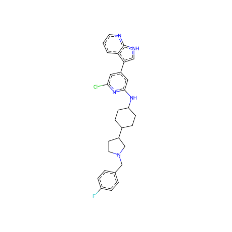 Fc1ccc(CN2CCC(C3CCC(Nc4cc(-c5c[nH]c6ncccc56)cc(Cl)n4)CC3)C2)cc1